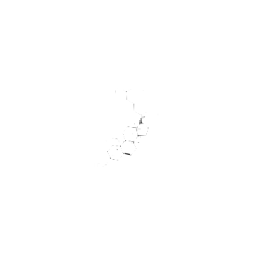 CC[C@]12CC[C@H]([SeH])CC1=CC[C@@H]1[C@@H]2CC[C@]2(C)[C@@H]([C@H](C)CCCC(C)C)CC[C@@H]12